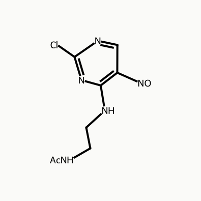 CC(=O)NCCNc1nc(Cl)ncc1N=O